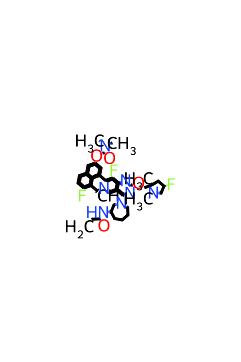 C#Cc1c(F)ccc2cc(OC(=O)N(C)C)cc(-c3ncc4c(N5CCCCC(NC(=O)C=C)C5)nc(OC[C@]5(C)C[C@@H](F)CN5C)nc4c3F)c12